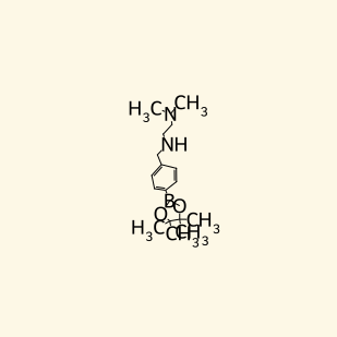 CN(C)CCNCc1ccc(B2OC(C)(C)C(C)(C)O2)cc1